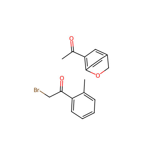 CC(=O)c1cc2ccc1OC2.Cc1ccccc1C(=O)CBr